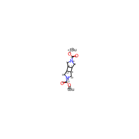 CC(C)(C)OC(=O)N1CC2C(C1)C1CN(C(=O)OC(C)(C)C)CC21